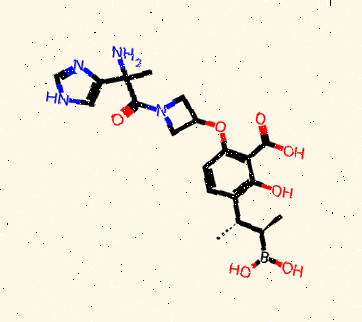 C[C@H](c1ccc(OC2CN(C(=O)C(C)(N)c3c[nH]cn3)C2)c(C(=O)O)c1O)[C@@H](C)B(O)O